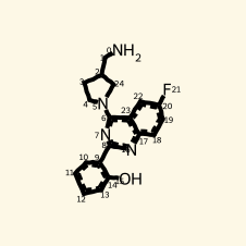 NCC1CCN(c2nc(-c3ccccc3O)nc3ccc(F)cc23)C1